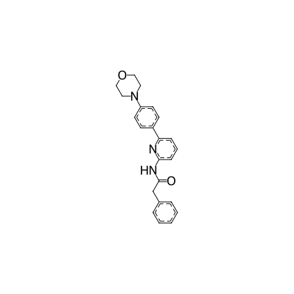 O=C(Cc1ccccc1)Nc1cccc(-c2ccc(N3CCOCC3)cc2)n1